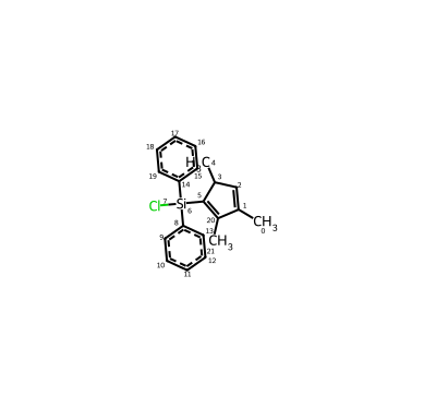 CC1=CC(C)C([Si](Cl)(c2ccccc2)c2ccccc2)=C1C